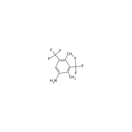 Cc1c(N)cc(C(F)(F)F)c(C)c1C(F)(F)F